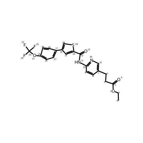 CCOC(=O)CCc1ccc(NC(=O)c2cc(-c3ccc(OC(F)(F)F)cc3)cs2)nc1